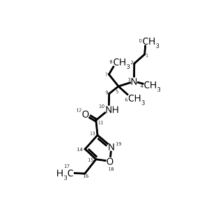 CCCN(C)C(C)(CC)CNC(=O)c1cc(CC)on1